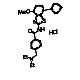 CCN(CC)Cc1ccc(C(=O)Nc2nc3c(OC)ccc(-c4ccccc4)c3s2)cc1.Cl